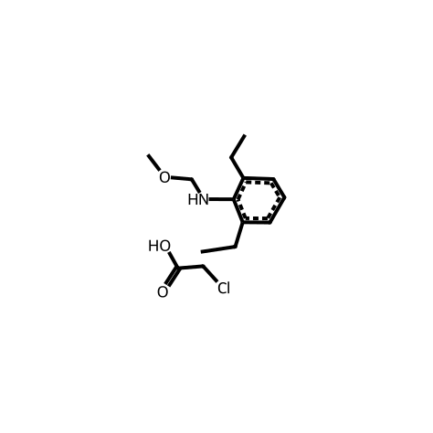 CCc1cccc(CC)c1NCOC.O=C(O)CCl